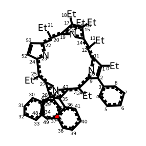 CCC1=C(c2ccccc2)c2nc1c(CC)c1c(CC)c(CC)c(c(CC)c3nc(c(CC)c4c(-c5ccccc5)c(-c5ccccc5)c(c2CC)n4-c2ccccc2)C=C3)n1CC